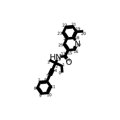 CCC(C)(C#Cc1ccccc1)NC(=O)c1cnc2c(C)cccc2c1